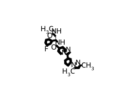 CNC(=O)C[C@H](NC(=O)c1ccn2c(-c3cccc(-n4nc(C)cc4C)c3)cnc2c1)c1cccc(F)c1